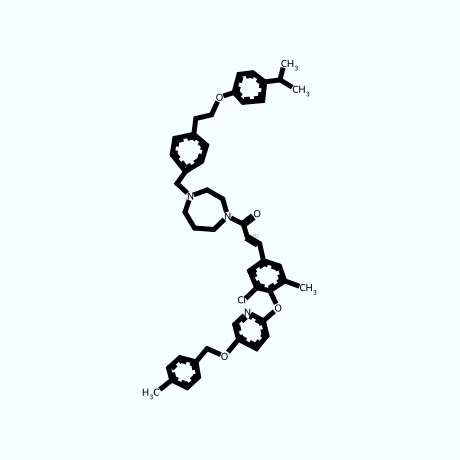 Cc1ccc(COc2ccc(Oc3c(C)cc(/C=C/C(=O)N4CCCN(Cc5ccc(CCOc6ccc(C(C)C)cc6)cc5)CC4)cc3Cl)nc2)cc1